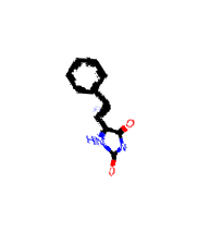 O=C1[N]C(=O)C(/C=C/c2ccccc2)N1